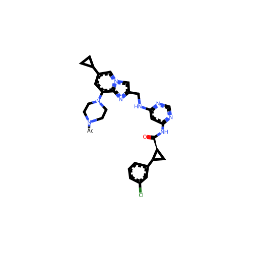 CC(=O)N1CCN(c2cc(C3CC3)cn3cc(CNc4cc(NC(=O)[C@H]5CC5c5cccc(Cl)c5)ncn4)nc23)CC1